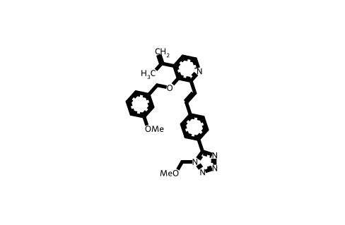 C=C(C)c1ccnc(C=Cc2ccc(-c3nnnn3COC)cc2)c1OCc1cccc(OC)c1